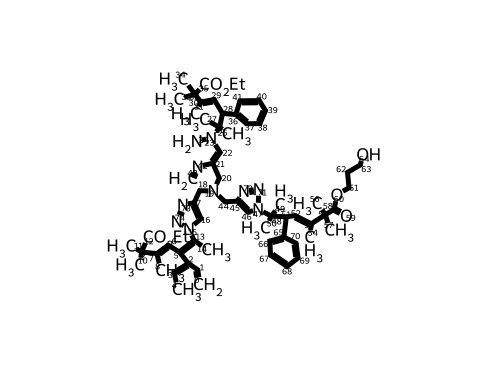 C=CC(=C\C)/C(/C=C(\C)C(C)(C)C(=O)OCC)=C(\C)n1cc(CN(C/C(=C/N(N)C(C)(C)C(/C=C(\C)C(C)(C)C(=O)OCC)c2ccccc2)N=C)Cc2cn(C(C)(C)C(/C=C(\C)C(C)(C)C(=O)OCCCO)c3ccccc3)nn2)nn1